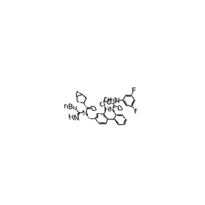 CCCCC(=N)N(Cc1ccc(-c2ccccc2NS(=O)(=O)Nc2cc(F)cc(F)c2)c(COCC)c1)C(=O)C1CC2CC2C1